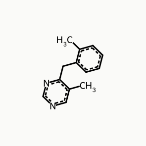 Cc1ccccc1Cc1ncncc1C